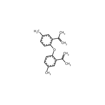 C=C(C)c1cc(C)ccc1Oc1ccc(C)cc1C(=C)C